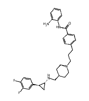 Nc1ccccc1NC(=O)c1ccc(CCCN2CCC(CN[C@@H]3C[C@H]3c3ccc(F)c(F)c3)CC2)cc1